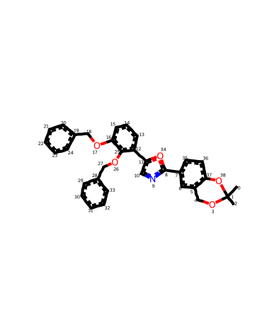 CC1(C)OCc2cc(-c3ncc(-c4cccc(OCc5ccccc5)c4OCc4ccccc4)o3)ccc2O1